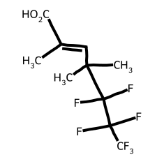 CC(=CC(C)(C)C(F)(F)C(F)(F)C(F)(F)F)C(=O)O